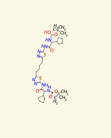 CC(C)(C)OC(=O)NC(C(=O)Nc1nnc(CCCCc2nnc(NC(=O)C(NC(O)OC(C)(C)C)C3CCCC3)s2)s1)C1CCCC1